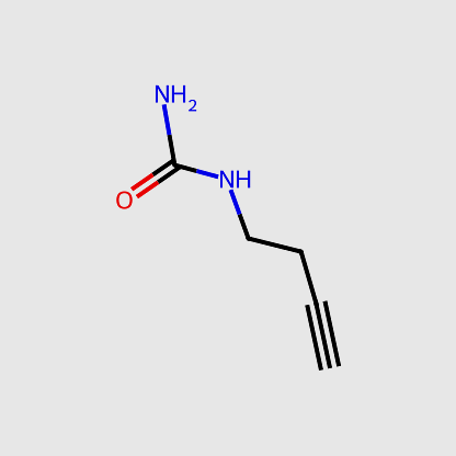 C#CCCNC(N)=O